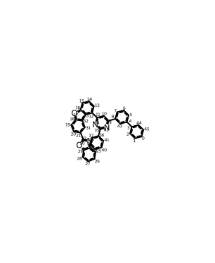 c1ccc(-c2cccc(-c3cc(-c4cccc5oc6ccc(-c7nc8ccccc8o7)cc6c45)nc(-c4ccccc4)n3)c2)cc1